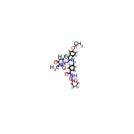 CCOc1ccc2c(c1)c(C)c(CN1CCC(=O)N(C)C1=O)n2Cc1ccc(C(=O)NOC2CCCCO2)cc1